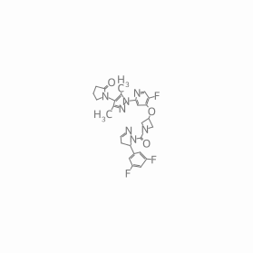 Cc1nn(-c2cc(OC3CN(C(=O)N4N=CCC4c4cc(F)cc(F)c4)C3)c(F)cn2)c(C)c1N1CCCC1=O